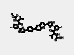 COC(=O)NC(C(=O)N1C[C@@H](C)C[C@H]1c1nc(-c2ccc(-c3ccc4nc(-c5c[nH]c([C@@H]6C[C@H](C)CN6C(=O)C(NC(=O)O)C(C)C)n5)ccc4c3)cc2)c[nH]1)C(C)C